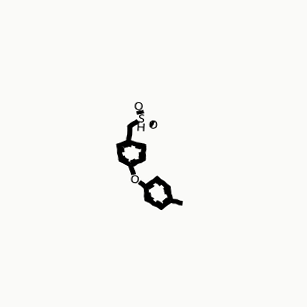 Cc1ccc(Oc2ccc(C[SH](=O)=O)cc2)cc1